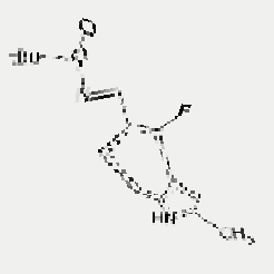 Cc1cc2c(F)c(/C=N/[S+]([O-])C(C)(C)C)ccc2[nH]1